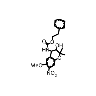 COc1cc2c(cc1[N+](=O)[O-])OC(C)(C)C(O)C2NC(=O)OCCc1ccccc1